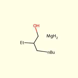 CCCCCC(CC)CO.[MgH2]